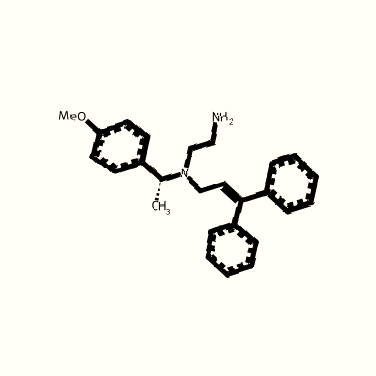 COc1ccc([C@@H](C)N(CC=C(c2ccccc2)c2ccccc2)CCN)cc1